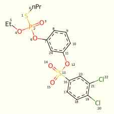 CCCSP(=O)(OCC)Oc1cccc(OS(=O)(=O)c2ccc(Cl)c(Cl)c2)c1